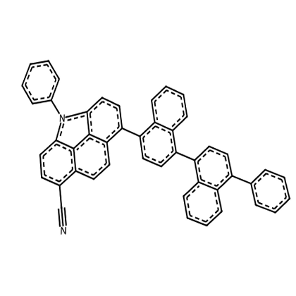 N#Cc1ccc2c3c1ccc1c(-c4ccc(-c5ccc(-c6ccccc6)c6ccccc56)c5ccccc45)ccc(c13)n2-c1ccccc1